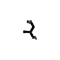 B[S+]([O-])CC